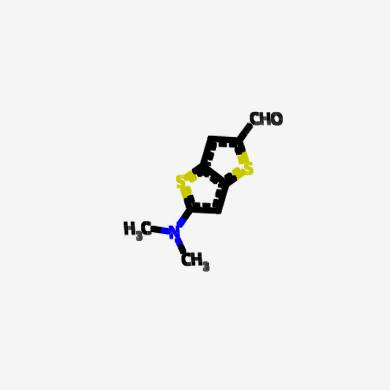 CN(C)c1cc2sc(C=O)cc2s1